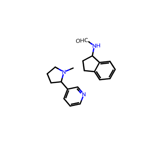 CN1CCCC1c1cccnc1.O=CNC1CCc2ccccc21